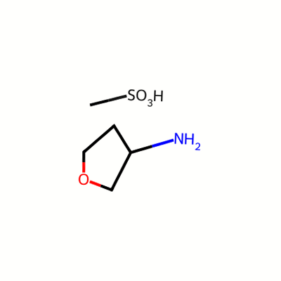 CS(=O)(=O)O.NC1CCOC1